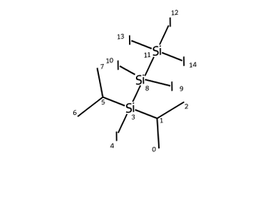 CC(C)[Si](I)(C(C)C)[Si](I)(I)[Si](I)(I)I